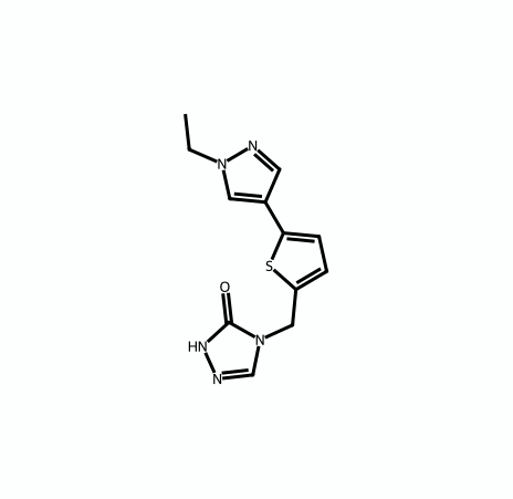 CCn1cc(-c2ccc(Cn3cn[nH]c3=O)s2)cn1